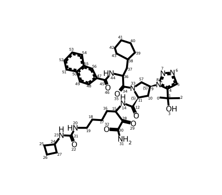 CC(C)(O)c1cnnn1[C@H]1C[C@@H](C(=O)NC(CCCCNC(=O)NC2CCC2)C(=O)C(N)=O)N(C(=O)C(CC2CCCCC2)NC(=O)c2ccc3ccccc3c2)C1